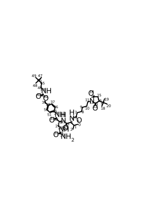 CC(C)[C@H](NC(=O)CCCCCN1C(=O)CC(C(C)(C)C)C1=O)C(=O)N[C@@H](CNC(N)=O)C(=O)Nc1ccc(COC(=O)NCCC(C)(C)C)cc1